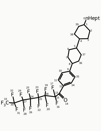 CCCCCCCC1CCC(C2CCC(c3ccc(C(=O)C(F)(F)C(F)(F)C(F)(F)C(F)(F)C(F)(F)C(F)(F)C(F)(F)F)cc3)CC2)CC1